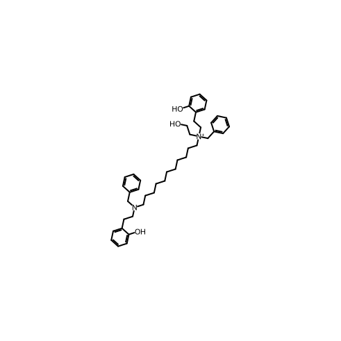 OCC[N+](CCCCCCCCCCCN(CCc1ccccc1O)Cc1ccccc1)(CCc1ccccc1O)Cc1ccccc1